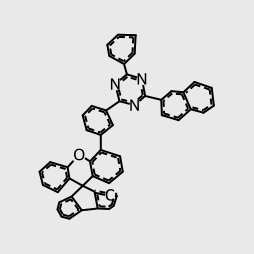 c1ccc(-c2nc(-c3cccc(-c4cccc5c4Oc4ccccc4C54c5ccccc5-c5ccccc54)c3)nc(-c3ccc4ccccc4c3)n2)cc1